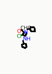 O=CC(=O)c1c(Cl)c(NCc2ccccc2)cn1Cc1ccccc1